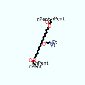 CCCCCC(CCCCC)CC(=O)OCCCCCCCCCC(CCCCCCCCCOC(=O)CC(CCCCC)CCCCC)OCCCN(CC)CC